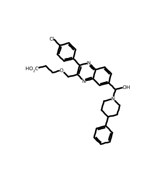 O=C(O)CCOCc1nc2cc(C(O)N3CCC(c4ccccc4)CC3)ccc2nc1-c1ccc(Cl)cc1